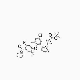 Cc1cc(Cl)cc(-c2ccnn2C2CN(C(=O)OC(C)(C)C)C2)c1Oc1cc(F)c(C(=O)N2CCCC2)cc1F